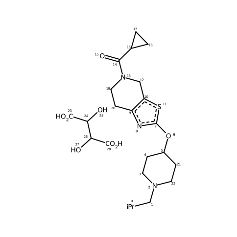 CC(C)CN1CCC(Oc2nc3c(s2)CN(C(=O)C2CC2)CC3)CC1.O=C(O)C(O)C(O)C(=O)O